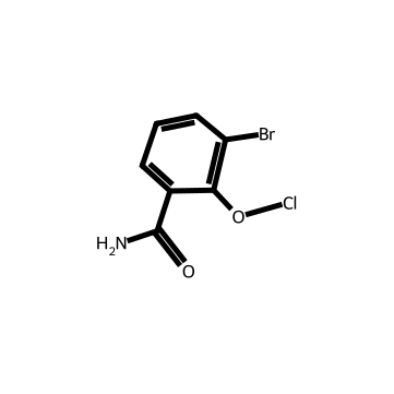 NC(=O)c1cccc(Br)c1OCl